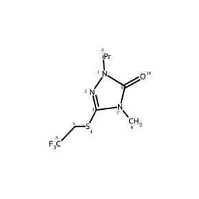 CC(C)n1nc(SCC(F)(F)F)n(C)c1=O